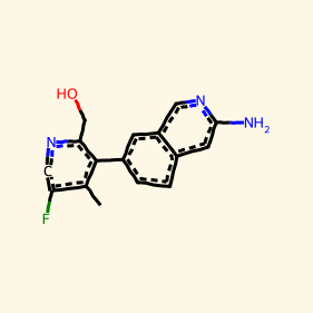 Cc1c(F)cnc(CO)c1-c1ccc2cc(N)ncc2c1